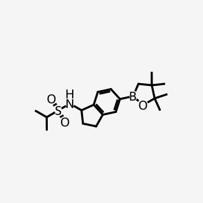 CC(C)S(=O)(=O)NC1CCc2cc(B3CC(C)(C)C(C)(C)O3)ccc21